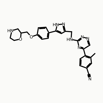 Cc1cc(C#N)ccc1-c1cnnc(NCc2cc(-c3ccc(OCC4CNCCO4)cc3)[nH]n2)n1